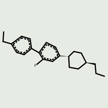 CCC[C@H]1CC[C@H](c2ccc(-c3ccc(CC)cc3)c(F)c2)CC1